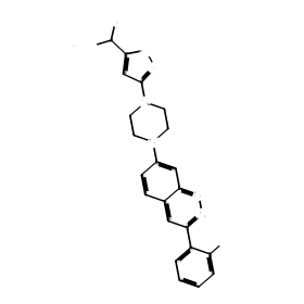 CC(C)C(C(=O)O)c1cc(N2CCN(c3ccc4cc(-c5ccccc5O)nnc4c3)CC2)no1